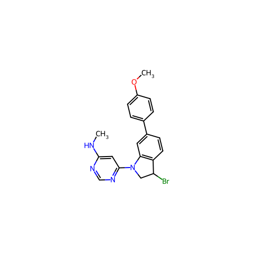 CNc1cc(N2CC(Br)c3ccc(-c4ccc(OC)cc4)cc32)ncn1